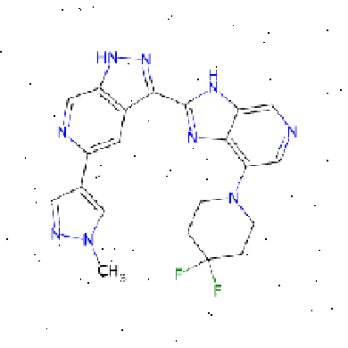 Cn1cc(-c2cc3c(-c4nc5c(N6CCC(F)(F)CC6)cncc5[nH]4)n[nH]c3cn2)cn1